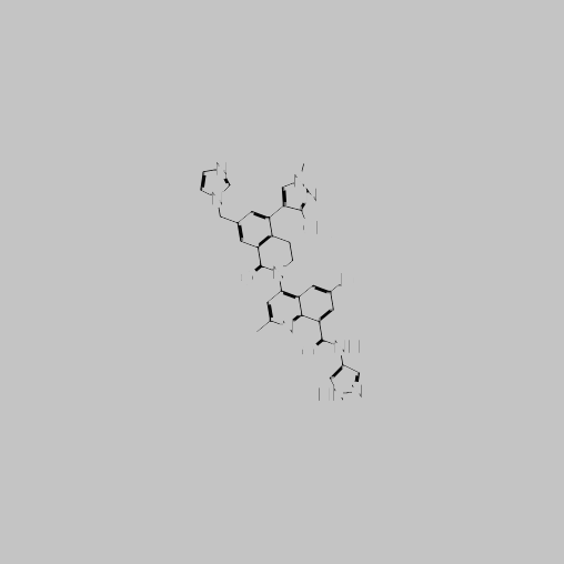 CCc1cc(C(=O)Nc2cn[nH]c2)c2nc(C)cc(N3CCc4c(cc(Cn5ccnc5)cc4-c4cn(C)nc4C(F)(F)F)C3=O)c2c1